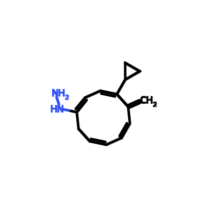 C=C1/C=C\C=C/C/C(NN)=C\C=C/1C1CC1